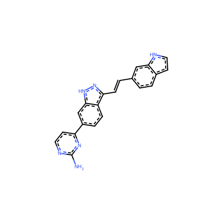 Nc1nccc(-c2ccc3c(C=Cc4ccc5cc[nH]c5c4)n[nH]c3c2)n1